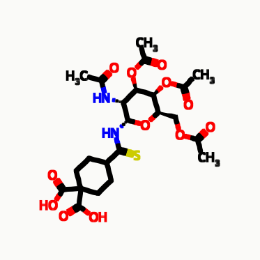 CC(=O)N[C@@H]1[C@@H](OC(C)=O)[C@@H](OC(C)=O)[C@@H](COC(C)=O)O[C@@H]1NC(=S)C1CCC(C(=O)O)(C(=O)O)CC1